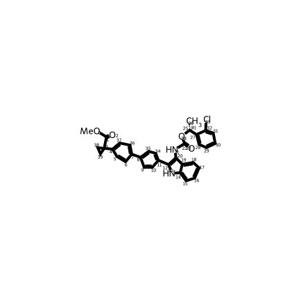 COC(=O)C1(c2ccc(-c3ccc(-c4[nH]c5ccccc5c4NC(=O)O[C@H](C)c4ccccc4Cl)cc3)cc2)CC1